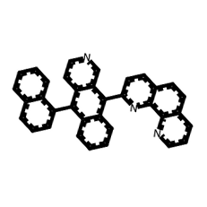 c1ccc2c(-c3c4ccccc4c(-c4ccc5ccc6cccnc6c5n4)c4cnccc34)cccc2c1